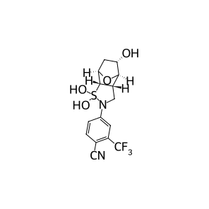 N#Cc1ccc(N2C[C@H]3[C@H]4O[C@H](C[C@@H]4O)[C@H]3S2(O)O)cc1C(F)(F)F